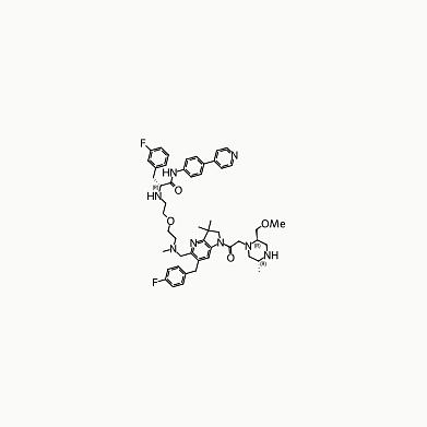 COC[C@H]1CN[C@H](C)CN1CC(=O)N1CC(C)(C)c2nc(CN(C)CCOCCN[C@H](Cc3cccc(F)c3)C(=O)Nc3ccc(-c4ccncc4)cc3)c(Cc3ccc(F)cc3)cc21